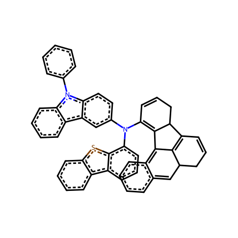 C1=CC2=C3C(=c4ccccc4=CC3C1)C1=C(N(c3ccc4c(c3)c3ccccc3n4-c3ccccc3)c3cccc4c3sc3ccccc34)C=CCC21